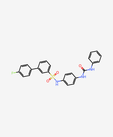 O=C(Nc1ccccc1)Nc1ccc(NS(=O)(=O)c2cccc(-c3ccc(F)cc3)c2)cc1